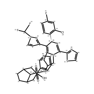 O=S(=O)(NC1CC2=C(c3ccn(C(F)F)n3)[C@H](c3ccc(F)cc3Cl)N=C(c3nccs3)N2C1)C1C2CCC1CC(O)(c1cccnc1)C2